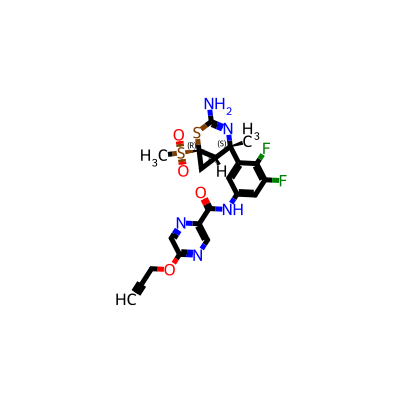 C#CCOc1cnc(C(=O)Nc2cc(F)c(F)c([C@@]3(C)N=C(N)S[C@@]4(S(C)(=O)=O)C[C@H]43)c2)cn1